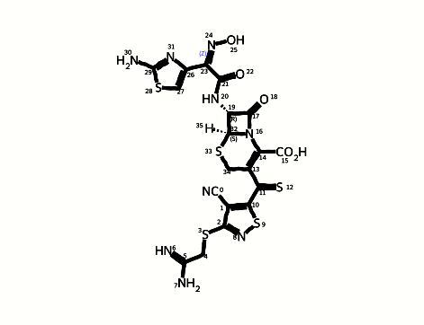 N#Cc1c(SCC(=N)N)nsc1C(=S)C1=C(C(=O)O)N2C(=O)[C@@H](NC(=O)/C(=N\O)c3csc(N)n3)[C@@H]2SC1